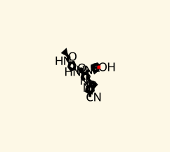 N#Cc1cnn2c(-c3cc(NC45CCC(O)(CC4)CC5)c(C(=O)N[C@H]4CC[C@H](NC(=O)C5CC5)CC4)cn3)ccc2c1